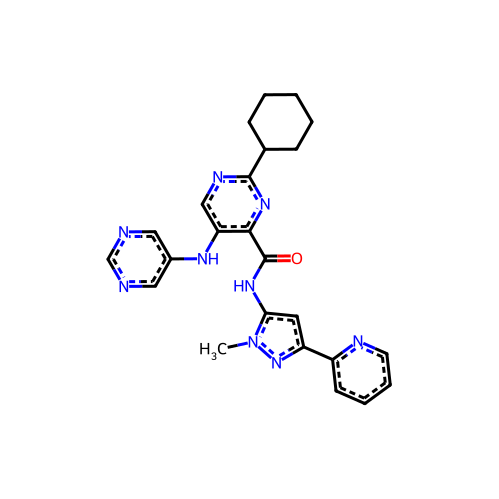 Cn1nc(-c2ccccn2)cc1NC(=O)c1nc(C2CCCCC2)ncc1Nc1cncnc1